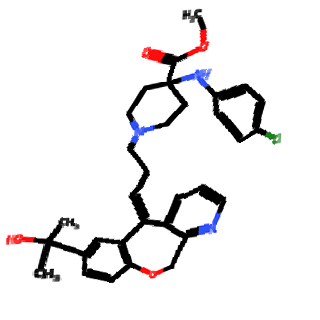 COC(=O)C1(Nc2ccc(Cl)cc2)CCN(CCC=C2c3cc(C(C)(C)O)ccc3OCc3ncccc32)CC1